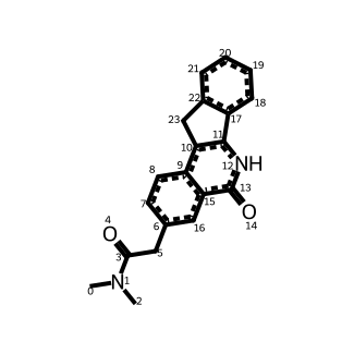 CN(C)C(=O)Cc1ccc2c3c([nH]c(=O)c2c1)-c1ccccc1C3